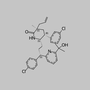 C=CC[C@@]1(C)C[C@H](c2cccc(Cl)c2)[C@H](CC[C@@H](c2ccc(Cl)cc2)c2cccc(C(C)(C)O)n2)NC1=O